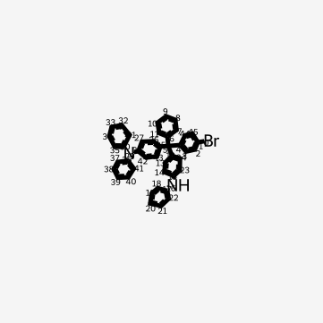 Brc1ccc(C(c2ccccc2)(c2ccc(Nc3ccccc3)cc2)c2ccc(N(c3ccccc3)c3ccccc3)cc2)cc1